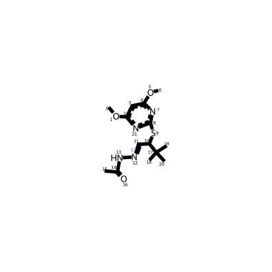 COc1cc(OC)nc(SC(/C=N/NC(C)=O)C(C)(C)C)n1